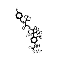 CNC(=O)Nc1ccc2c(c1)S(=O)(=O)C(=O)C21NCN(CC(=O)N(Cc2ccc(F)cc2)C(C)C(F)(F)F)C1=O